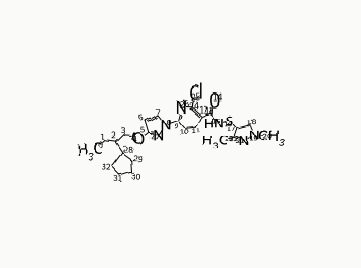 CCC(COc1ccn(-c2ccc(C(=O)NSc3cn(C)nc3C)c(Cl)n2)n1)C1CCCC1